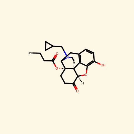 CC(C)CCC(=O)O[C@@]12CCC(=O)[C@@H]3Oc4c(O)ccc5c4[C@@]31CCN(CC1CC1)C2C5